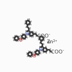 O=C([O-])CCc1ccc2c(c1)c(CCc1ccccc1)cn2-c1ccc(Oc2ccccc2)cc1.O=C([O-])CCc1ccc2c(c1)c(CCc1ccccc1)cn2-c1ccc(Oc2ccccc2)cc1.[Zn+2]